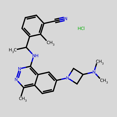 Cc1c(C#N)cccc1C(C)Nc1nnc(C)c2ccc(N3CC(N(C)C)C3)cc12.Cl